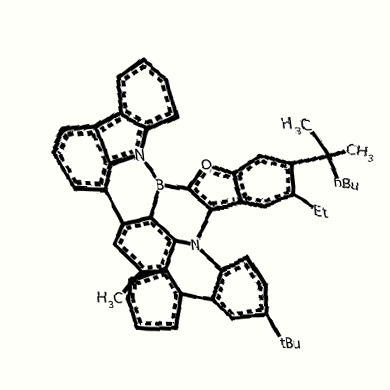 CCCCC(C)(C)c1cc2oc3c(c2cc1CC)N(c1ccc(C(C)(C)C)cc1-c1ccccc1)c1cc(C)cc2c1B3n1c3ccccc3c3cccc-2c31